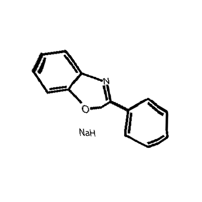 [NaH].c1ccc(-c2nc3ccccc3o2)cc1